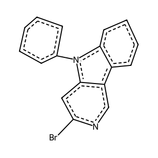 Brc1cc2c(cn1)c1ccccc1n2-c1ccccc1